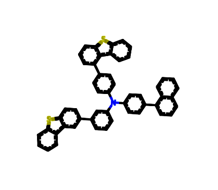 c1cc(-c2ccc3sc4ccccc4c3c2)cc(N(c2ccc(-c3cccc4ccccc34)cc2)c2ccc(-c3cccc4sc5ccccc5c34)cc2)c1